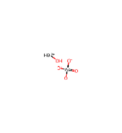 O=[As]([O-])([O-])[O-].[OH][BiH+3]